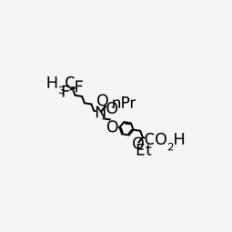 CCCOC(=O)N(CCCCCC(C)(F)F)CCOc1ccc(CC(OCC)C(=O)O)cc1